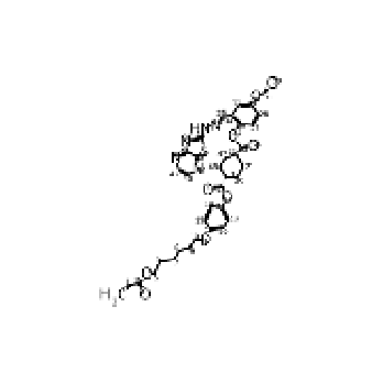 C=CC(=O)OCCCCCCOc1ccc(OC(=O)[C@H]2CC[C@H](C(=O)Oc3ccc(OC=O)cc3/C=N/Nc3nc4nccnc4s3)CC2)cc1